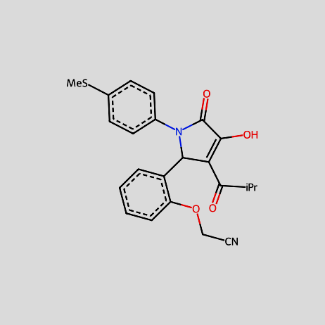 CSc1ccc(N2C(=O)C(O)=C(C(=O)C(C)C)C2c2ccccc2OCC#N)cc1